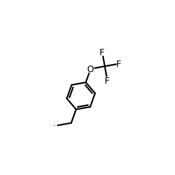 [CH2]Cc1ccc(OC(F)(F)F)cc1